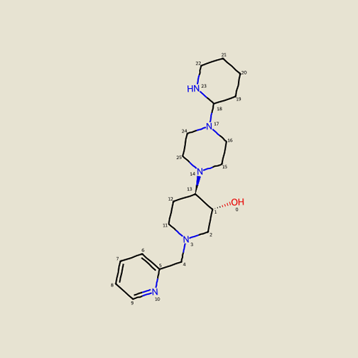 O[C@@H]1CN(Cc2ccccn2)CC[C@H]1N1CCN(C2CCCCN2)CC1